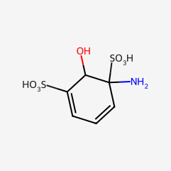 NC1(S(=O)(=O)O)C=CC=C(S(=O)(=O)O)C1O